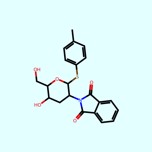 Cc1ccc(SC2OC(CO)C(O)CC2N2C(=O)c3ccccc3C2=O)cc1